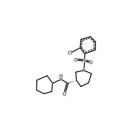 O=C(NC1CCCCC1)[C@H]1CCCN(S(=O)(=O)c2ccccc2Cl)C1